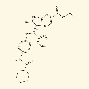 CCOC(=O)c1ccc2c(c1)NC(=O)/C2=C(\Nc1ccc(N(C)C(=O)N2CCCCC2)cc1)c1ccccc1